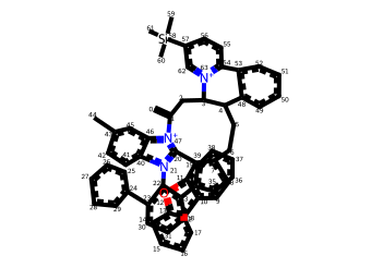 C=C1CC2C(CCc3ccc4c(oc5ccccc54)c3-c3n(-c4c(-c5ccccc5)cccc4-c4ccccc4)c4ccc(C)cc4[n+]31)c1ccccc1-c1ccc([Si](C)(C)C)c[n+]12